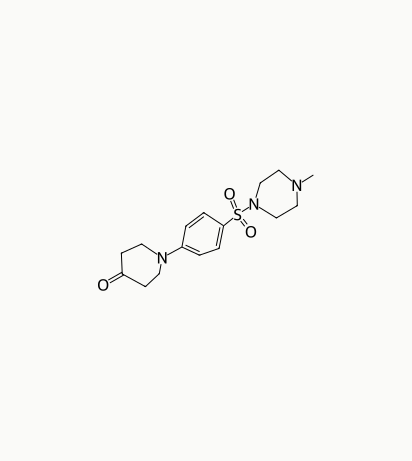 CN1CCN(S(=O)(=O)c2ccc(N3CCC(=O)CC3)cc2)CC1